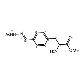 COC(=O)C(N)Cc1ccc(/C=N/NC(C)=O)cc1